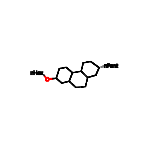 CCCCCCO[C@H]1CCC2C(CCC3C[C@@H](CCCCC)CCC32)C1